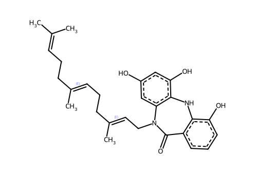 CC(C)=CCC/C(C)=C/CC/C(C)=C/CN1C(=O)c2cccc(O)c2Nc2c(O)cc(O)cc21